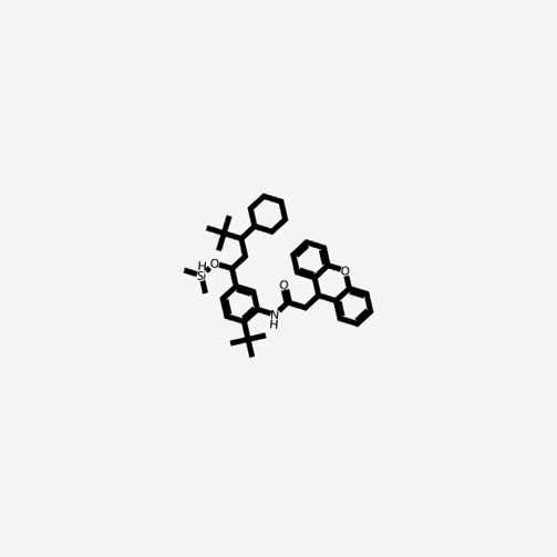 C[SiH](C)OC(CC(C1CCCCC1)C(C)(C)C)c1ccc(C(C)(C)C)c(NC(=O)CC2c3ccccc3Oc3ccccc32)c1